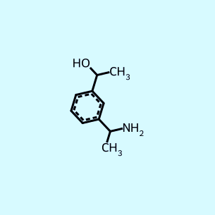 CC(N)c1cccc(C(C)O)c1